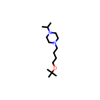 CC(C)N1CCN(CCCCOC(C)(C)C)CC1